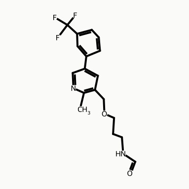 Cc1ncc(-c2cccc(C(F)(F)F)c2)cc1COCCCNC=O